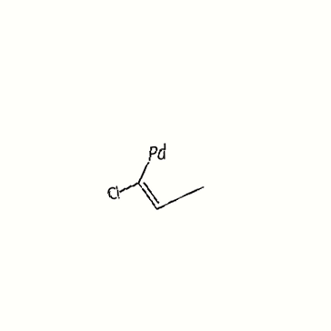 CC=[C](Cl)[Pd]